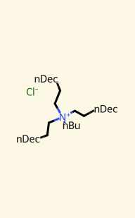 CCCCCCCCCCCC[N+](CCCC)(CCCCCCCCCCCC)CCCCCCCCCCCC.[Cl-]